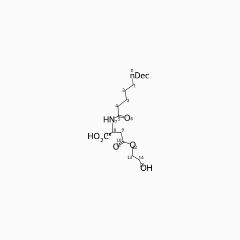 CCCCCCCCCCCCCCC(=O)N[C@@H](CC(=O)OCCO)C(=O)O